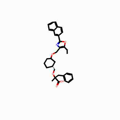 CCc1oc(-c2ccc3ccccc3c2)nc1COC1CCC[C@@H](COC(C)(Cc2ccccc2)C(=O)O)C1